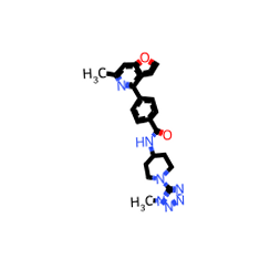 Cc1cc2occc2c(-c2ccc(C(=O)NC3CCN(c4nnnn4C)CC3)cc2)n1